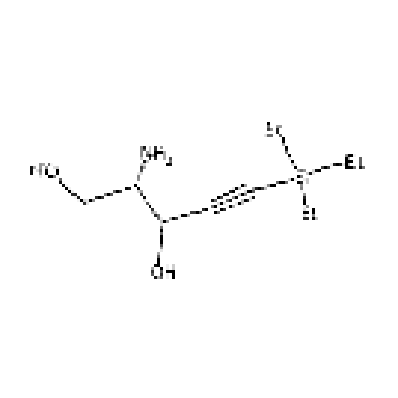 CC[Si](C#CC(O)[C@@H](N)CO)(CC)CC